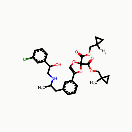 CC(Cc1cccc(C2=COC(C(=O)OCC3(C)CC3)(C(=O)OCC3(C)CC3)O2)c1)NCC(O)c1cccc(Cl)c1